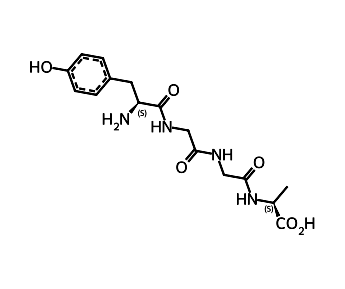 C[C@H](NC(=O)CNC(=O)CNC(=O)[C@@H](N)Cc1ccc(O)cc1)C(=O)O